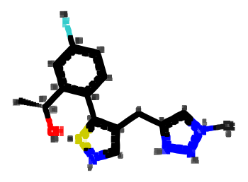 CCn1cc(Cc2cnsc2-c2ccc(F)cc2[C@@H](C)O)nn1